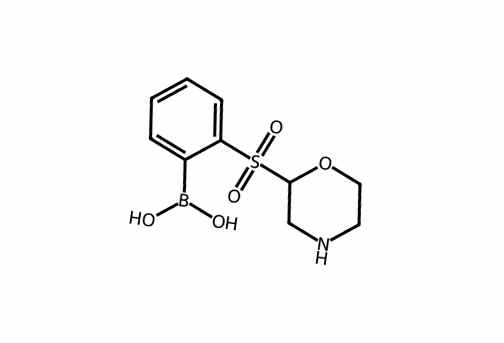 O=S(=O)(c1ccccc1B(O)O)C1CNCCO1